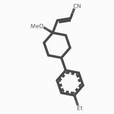 CCc1ccc(C2CCC(C=CC#N)(OC)CC2)cc1